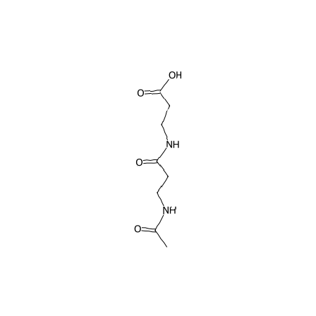 CC(=O)NCCC(=O)NCCC(=O)O